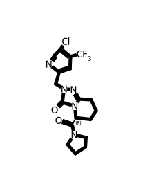 O=C([C@H]1CCCc2nn(Cc3cc(C(F)(F)F)c(Cl)cn3)c(=O)n21)N1CCCC1